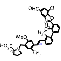 COc1cc(/C=C/c2cccc(-c3cccc(-c4nc5cc(C=O)cc(Cl)c5o4)c3C)c2C)c(C(F)(F)F)cc1CN1CCC[C@H]1C(=O)O